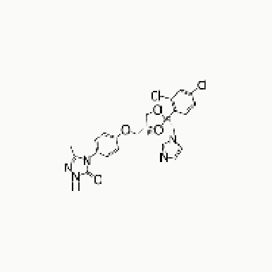 Cc1n[nH]c(=O)n1-c1ccc(OC[C@@H]2CO[C@@](Cn3ccnc3)(c3ccc(Cl)cc3Cl)O2)cc1